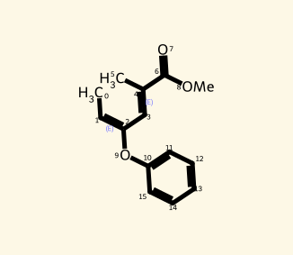 C/C=C(\C=C(/C)C(=O)OC)Oc1ccccc1